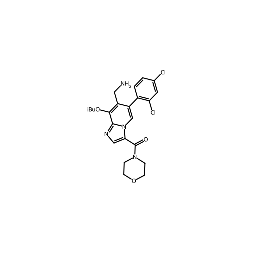 CC(C)COc1c(CN)c(-c2ccc(Cl)cc2Cl)cn2c(C(=O)N3CCOCC3)cnc12